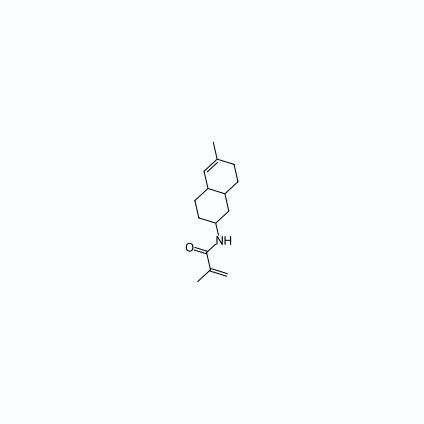 C=C(C)C(=O)NC1CCC2C=C(C)CCC2C1